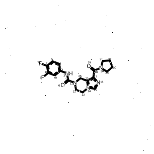 O=C(Nc1ccc(F)c(F)c1)N1CCn2cnc(C(=O)N3CCCC3)c2C1